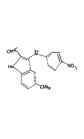 COc1ccc2[nH]c(C=O)c(Nc3ccc([N+](=O)[O-])cc3)c2c1